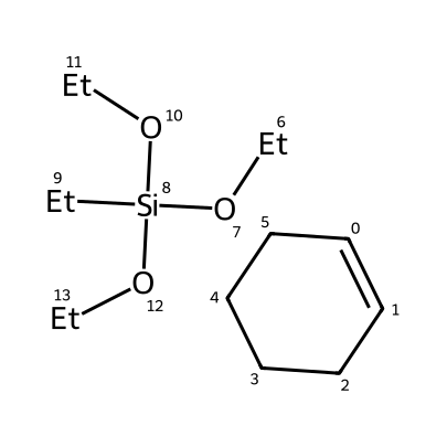 C1=CCCCC1.CCO[Si](CC)(OCC)OCC